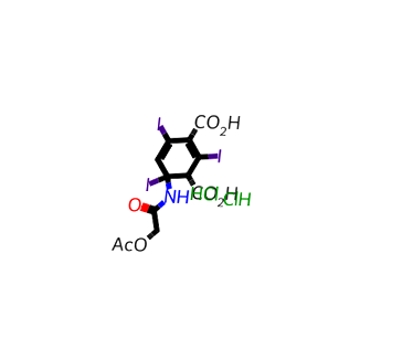 CC(=O)OCC(=O)NC1(I)C=C(I)C(C(=O)O)=C(I)C1C(=O)O.Cl.Cl